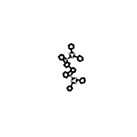 c1ccc(-c2nc(-c3ccccc3)nc(-n3c4ccccc4c4ccc(-c5cccc6c5c5ccccc5n6-c5nc(-c6ccccc6)nc(-c6ccccc6)n5)cc43)n2)cc1